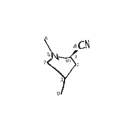 CC1C[C@H](C#N)N(C)C1